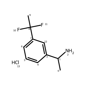 CC(N)c1cccc(C(C)(F)F)c1.Cl